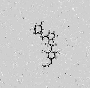 CNCc1cc(Cl)c(-c2nc3ccnc(Nc4cc(C)nc(C)n4)c3[nH]2)c(Cl)c1